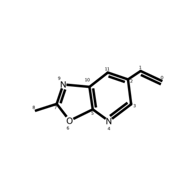 C=Cc1cnc2oc(C)nc2c1